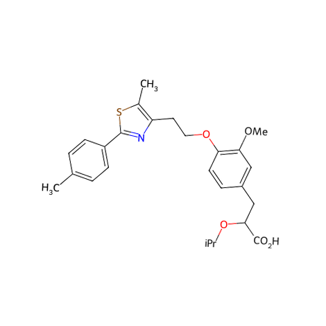 COc1cc(CC(OC(C)C)C(=O)O)ccc1OCCc1nc(-c2ccc(C)cc2)sc1C